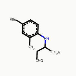 CCCCc1ccc(NC(CC=O)C(=O)O)c(C)c1